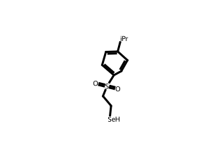 CC(C)c1ccc(S(=O)(=O)CC[SeH])cc1